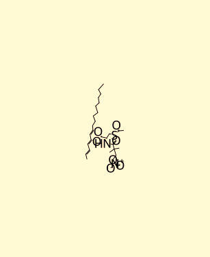 CC=CC=C(C=CCCCCCCCCCC)OC(=O)C(CSC(C)=O)NC(=O)C(C)(C)CO[N+](=O)[O-]